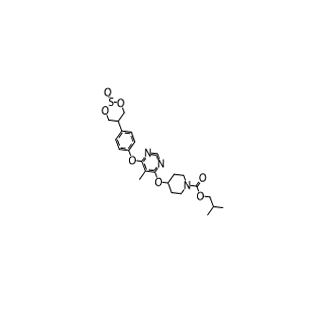 Cc1c(Oc2ccc(C3COS(=O)OC3)cc2)ncnc1OC1CCN(C(=O)OCC(C)C)CC1